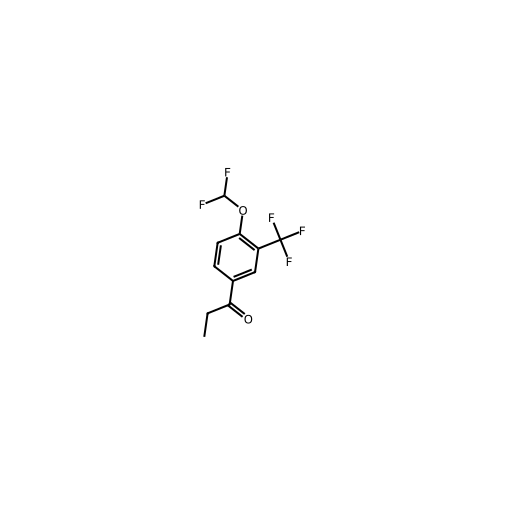 CCC(=O)c1ccc(OC(F)F)c(C(F)(F)F)c1